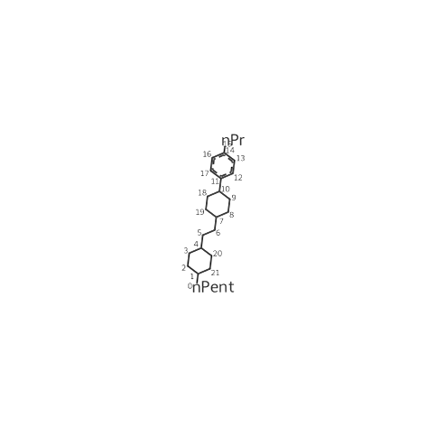 CCCCCC1CCC(CCC2CCC(c3ccc(CCC)cc3)CC2)CC1